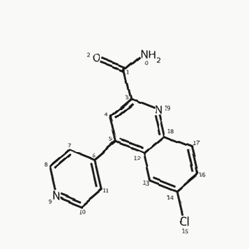 NC(=O)c1cc(-c2ccncc2)c2cc(Cl)ccc2n1